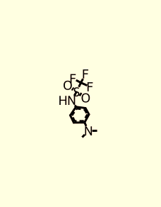 CN(C)c1ccc(NS(=O)(=O)C(F)(F)F)cc1